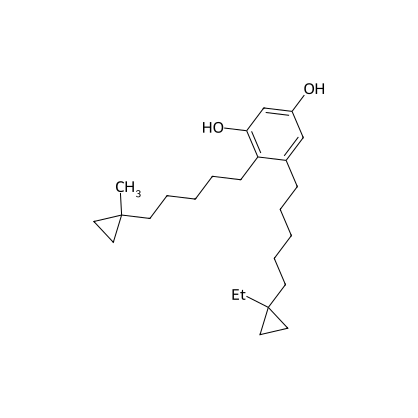 CCC1(CCCCCc2cc(O)cc(O)c2CCCCCC2(C)CC2)CC1